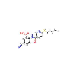 CCCCCSc1ccc(C(=O)Nc2ccc(C#N)cc2C(=O)O)cn1